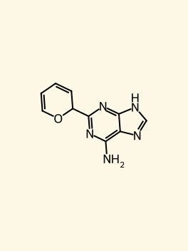 Nc1nc(C2C=CC=CO2)nc2[nH]cnc12